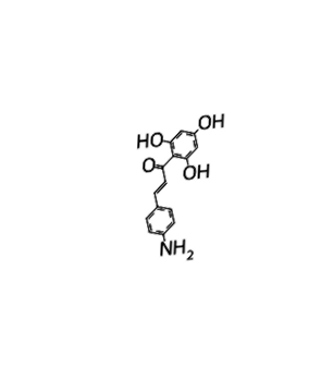 Nc1ccc(C=CC(=O)c2c(O)cc(O)cc2O)cc1